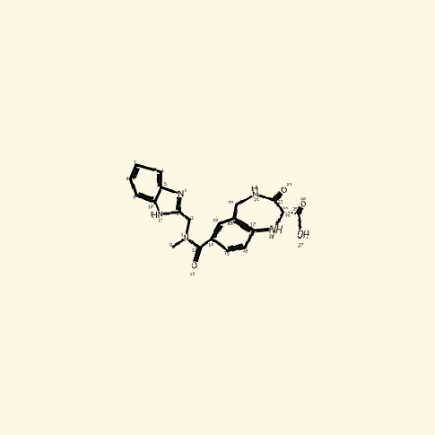 CN(Cc1nc2ccccc2[nH]1)C(=O)c1ccc2c(c1)CNC(=O)[C@H](C(=O)O)N2